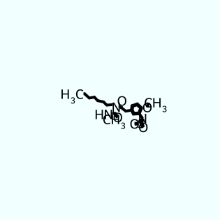 CCCCCCCCN(C(=O)Cc1ccc(OC)c(N=S(=O)=O)c1)C(=O)NC